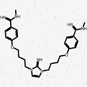 CNC(=N)c1ccc(OCCCCn2ccn(CCCCOc3ccc(C(=N)NC)cc3)c2=N)cc1